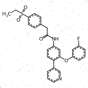 CCS(=O)(=O)c1ccc(CC(=O)Nc2ccc(-c3cccnc3)c(Oc3cccc(F)c3)c2)cc1